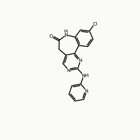 O=C1Cc2cnc(Nc3ccccn3)nc2-c2ccc(Cl)cc2N1